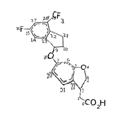 O=C(O)CC1COc2cc(O[C@@H]3CCc4c3cc(F)cc4C(F)(F)F)ccc21